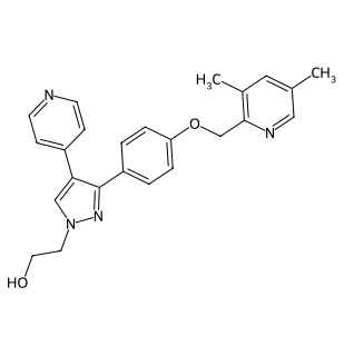 Cc1cnc(COc2ccc(-c3nn(CCO)cc3-c3ccncc3)cc2)c(C)c1